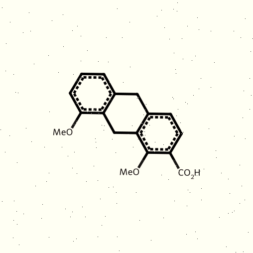 COc1cccc2c1Cc1c(ccc(C(=O)O)c1OC)C2